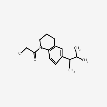 CC(C)C(C)c1ccc2c(c1)CCCN2C(=O)CCl